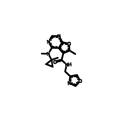 Cc1oc2ncnc(N(C)C3(C)CC3)c2c1C(=O)NCc1cocn1